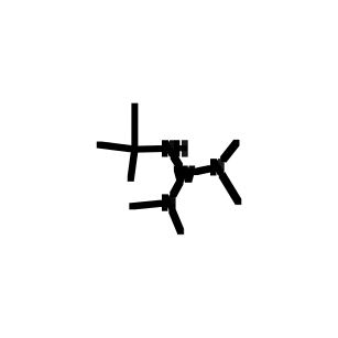 C[N](C)[W]([NH]C(C)(C)C)[N](C)C